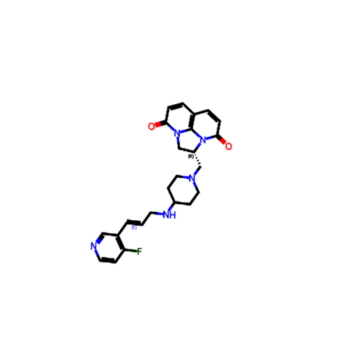 O=c1ccc2ccc(=O)n3c2n1C[C@H]3CN1CCC(NC/C=C/c2cnccc2F)CC1